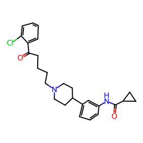 O=C(CCCCN1CCC(c2cccc(NC(=O)C3CC3)c2)CC1)c1ccccc1Cl